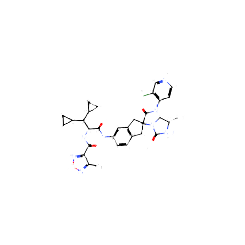 Cc1nonc1C(=O)N[C@H](C(=O)Nc1ccc2c(c1)CC(C(=O)Nc1ccncc1Cl)(N1C[C@@H](C(C)C)NC1=O)C2)C(C1CC1)C1CC1